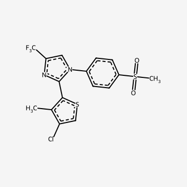 Cc1c(Cl)csc1-c1nc(C(F)(F)F)cn1-c1ccc(S(C)(=O)=O)cc1